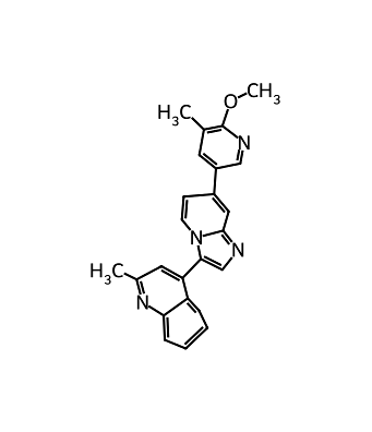 COc1ncc(-c2ccn3c(-c4cc(C)nc5ccccc45)cnc3c2)cc1C